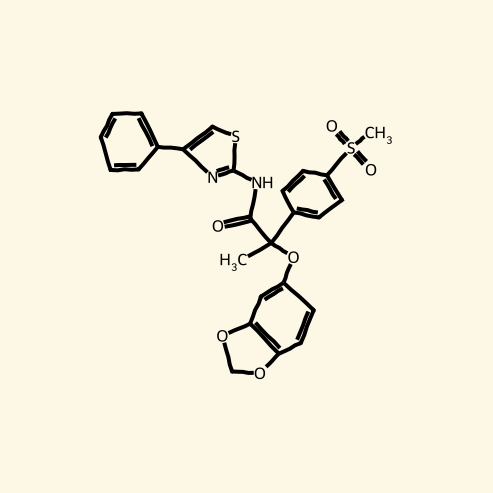 CC(Oc1ccc2c(c1)OCO2)(C(=O)Nc1nc(-c2ccccc2)cs1)c1ccc(S(C)(=O)=O)cc1